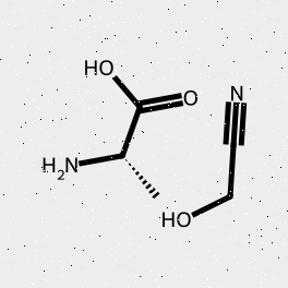 C[C@H](N)C(=O)O.N#CCO